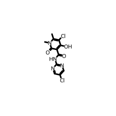 Cc1c(Cl)c(O)c(C(=O)Nc2ncc(Cl)cn2)c(=O)n1C